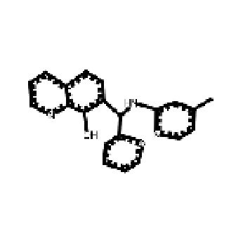 Cc1ccnc(NC(c2ccccn2)c2ccc3cccnc3c2O)c1